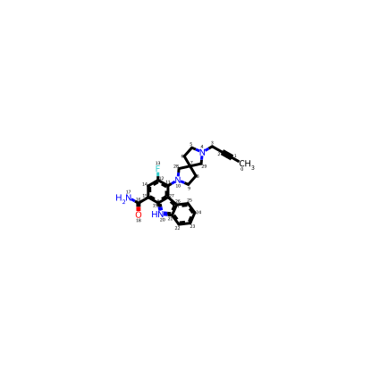 CC#CCN1CCC2(CCN(c3c(F)cc(C(N)=O)c4[nH]c5ccccc5c34)C2)C1